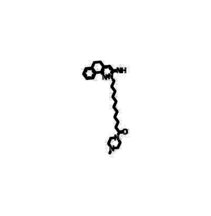 CN1CCN(C(=O)CCCCCCCCCCn2nc3c(cc2=N)CCc2ccccc2-3)CC1